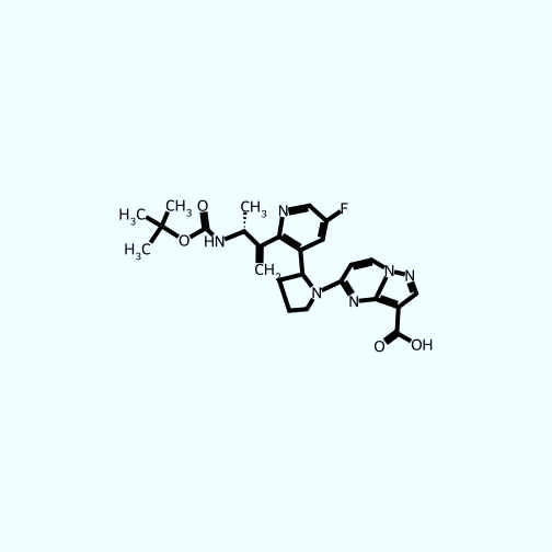 C=C(c1ncc(F)cc1C1CCCN1c1ccn2ncc(C(=O)O)c2n1)[C@@H](C)NC(=O)OC(C)(C)C